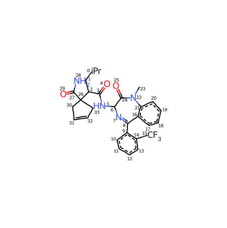 CC(C)CC(C(=O)NC1N=C(c2ccccc2C(F)(F)F)c2ccccc2N(C)C1=O)C1(C(N)=O)CC=CC1